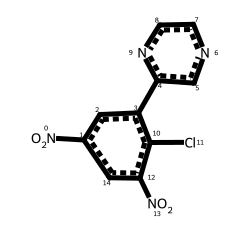 O=[N+]([O-])c1cc(-c2cnccn2)c(Cl)c([N+](=O)[O-])c1